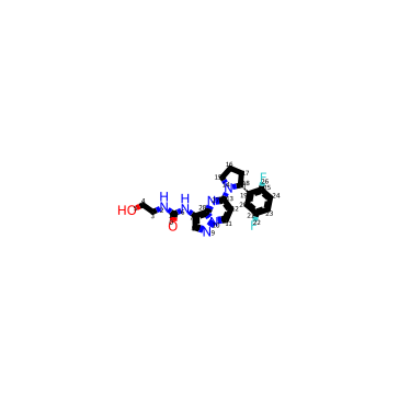 O=C(NCCO)Nc1cnn2ccc(N3CCC[C@@H]3c3cc(F)ccc3F)nc12